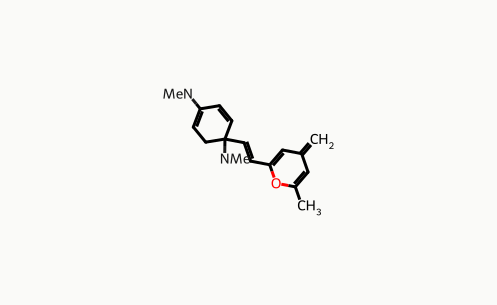 C=C1C=C(C)OC(C=CC2(NC)C=CC(NC)=CC2)=C1